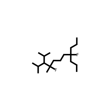 CCCC(F)(CCC)CCCC(C)(F)C(C(C)C)C(C)C